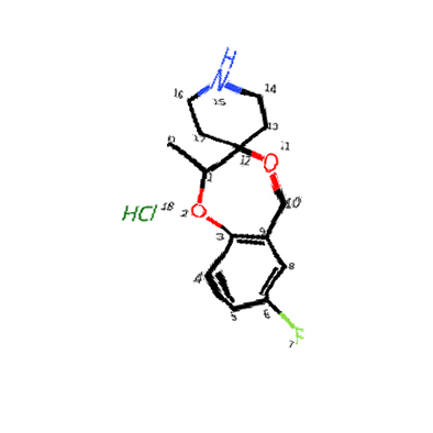 CC1Oc2ccc(F)cc2COC12CCNCC2.Cl